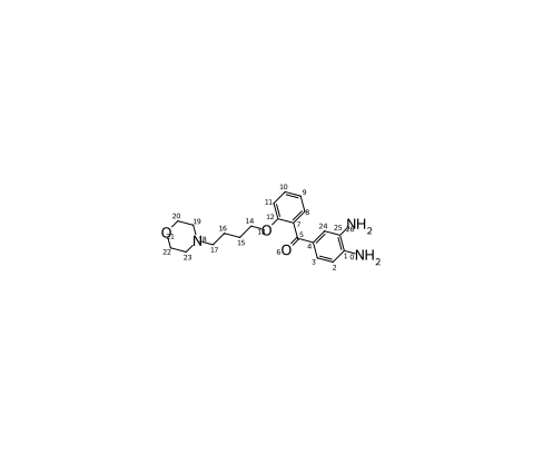 Nc1ccc(C(=O)c2ccccc2OCCCCN2CCOCC2)cc1N